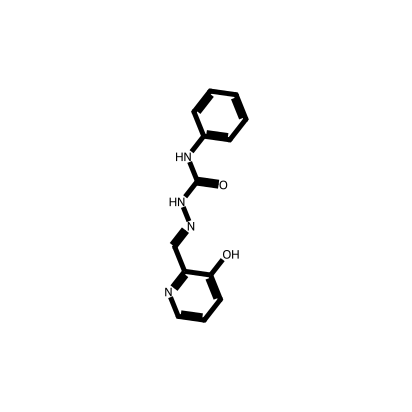 O=C(NN=Cc1ncccc1O)Nc1ccccc1